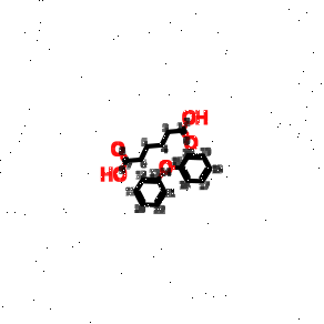 O=C(O)CCCCC(=O)O.c1ccc(Oc2ccccc2)cc1